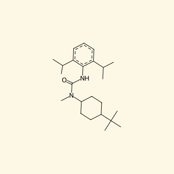 CC(C)c1cccc(C(C)C)c1NC(=O)N(C)C1CCC(C(C)(C)C)CC1